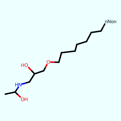 CCCCCCCCCCCCCCCCOCC(O)CNC(C)O